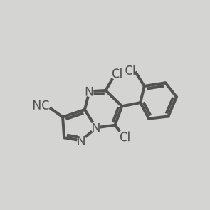 N#Cc1cnn2c(Cl)c(-c3ccccc3Cl)c(Cl)nc12